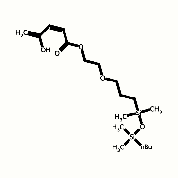 C=C(O)/C=C\C(=O)OCCOCCC[Si](C)(C)O[Si](C)(C)CCCC